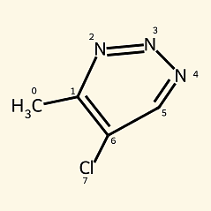 Cc1nnncc1Cl